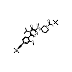 COc1cc(C#C[Si](C)(C)C)ccc1-c1nnc(N[C@@H]2CCCN(C(=O)OC(C)(C)C)C2)c(=O)n1C(C)C